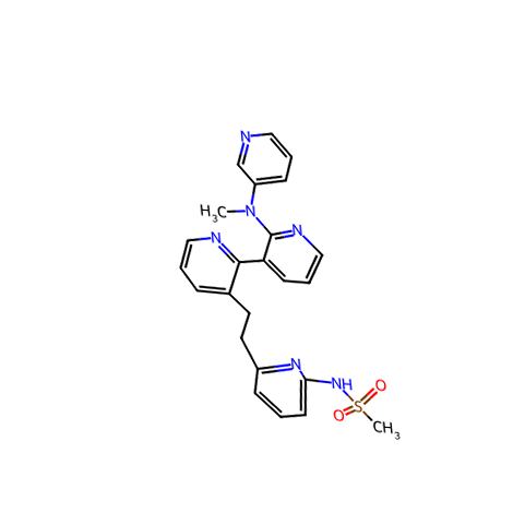 CN(c1cccnc1)c1ncccc1-c1ncccc1CCc1cccc(NS(C)(=O)=O)n1